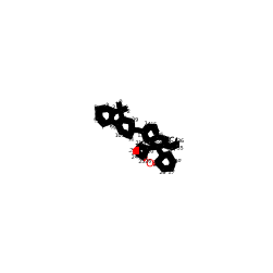 CC1(C)c2ccccc2-c2ccc(-c3ccc4c(c3)C3(c5ccccc5Oc5ccccc53)c3ccccc3-4)cc21